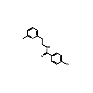 Cc1cccc(CCNC(=O)c2ccc(C(C)(C)C)cc2)n1